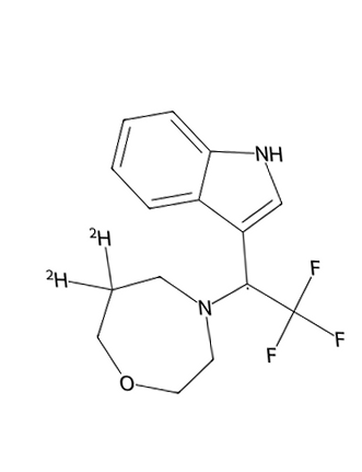 [2H]C1([2H])COCCN([C](c2c[nH]c3ccccc23)C(F)(F)F)C1